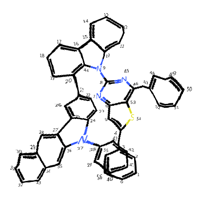 c1ccc(-c2cc3nc(-n4c5ccccc5c5cccc(-c6ccc7c(c6)c6cc8ccccc8cc6n7-c6ccccc6)c54)nc(-c4ccccc4)c3s2)cc1